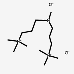 CN(CCC[N+](C)(C)C)CCC[N+](C)(C)C.[Cl-].[Cl-]